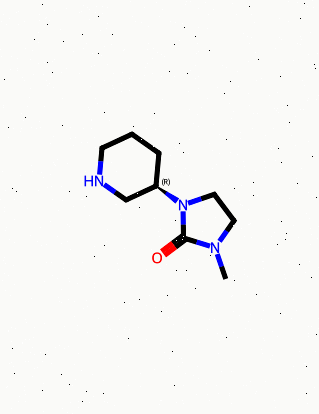 CN1CCN([C@@H]2CCCNC2)C1=O